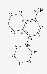 N#Cc1ccc(N2CCCCC2)c2c1CCCC2